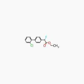 CCOC(=O)C(F)c1ccc(-c2ccccc2Cl)cc1